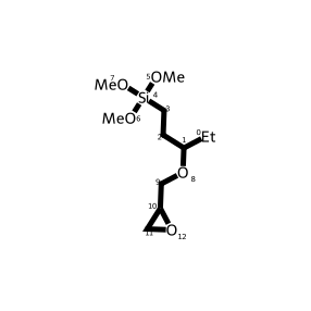 CCC(CC[Si](OC)(OC)OC)OCC1CO1